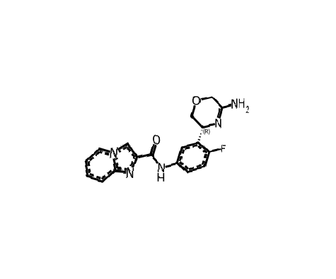 NC1=N[C@H](c2cc(NC(=O)c3cn4ccccc4n3)ccc2F)COC1